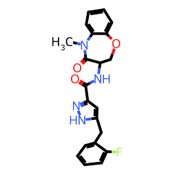 CN1C(=O)C(NC(=O)c2cc(Cc3ccccc3F)[nH]n2)COc2ccccc21